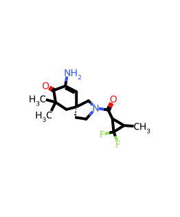 CC1C(C(=O)N2CC[C@]3(C=C(N)C(=O)C(C)(C)C3)C2)C1(F)F